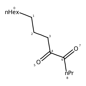 CCCCCCCCCC(=O)C(=O)CCC